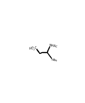 CCCCC(CC(=O)O)NC(C)=O